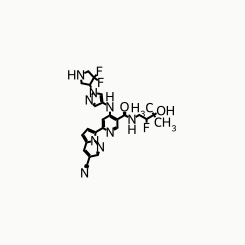 CC(C)(O)C(F)CNC(=O)c1cnc(-c2ccc3cc(C#N)cnn23)cc1Nc1cnn(C2CNCC2(F)F)c1